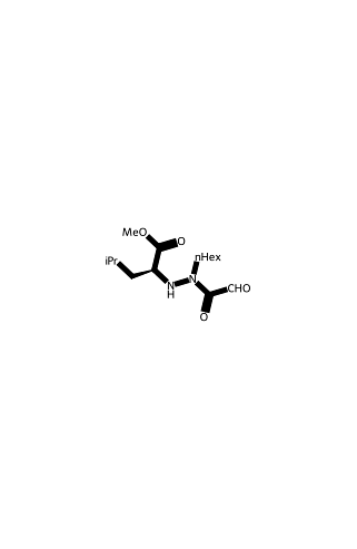 CCCCCCN(N[C@@H](CC(C)C)C(=O)OC)C(=O)C=O